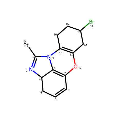 CCC1=NC2CC=CC3=C2N1C1=C(CC(Br)CC1)O3